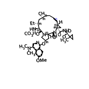 CC[C@@H]1C[C@H](C)CC/C=C\[C@@H]2C[C@@]2(C(=O)NS(=O)(=O)C2(C)CC2)NC(=O)[C@@H]2C[C@@H](Oc3ncc(N(C)C)c4cc(OC)ccc34)CN2C(=O)[C@H]1NC(=O)O